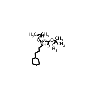 C[SiH](C)ON(CCCCC1CCCCC1)NC(=O)OC(C)(C)C